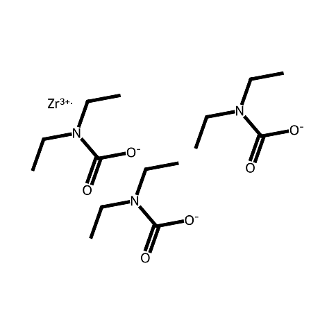 CCN(CC)C(=O)[O-].CCN(CC)C(=O)[O-].CCN(CC)C(=O)[O-].[Zr+3]